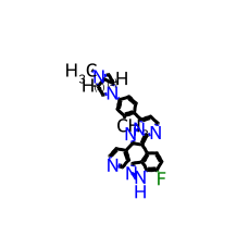 Cc1cc(N2C[C@@H]3C[C@H]2CN3C)ccc1-c1ccnc2c(-c3ccc(F)c4[nH]ncc34)c(-c3ccncc3)nn12